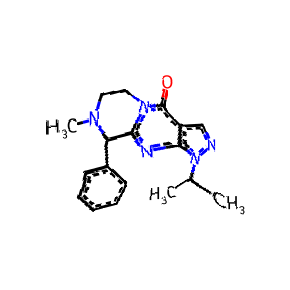 CC(C)n1ncc2c(=O)n3c(nc21)C(c1ccccc1)N(C)CC3